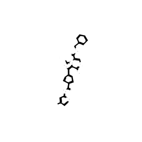 Cc1nc(-c2ccc(C(=O)Nc3cc(F)ccn3)cc2)c2c(N)ncc(C(=O)NCc3ccccc3)n12